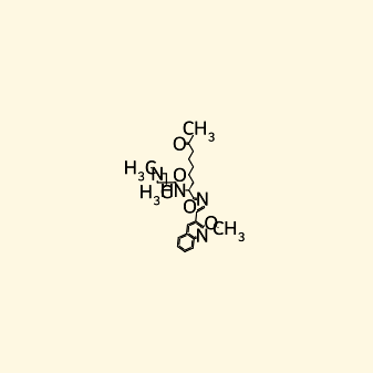 CCC(=O)CCCCC[C@H](NC(=O)C1(C)CN(C)C1)c1ncc(-c2cc3ccccc3nc2OC)o1